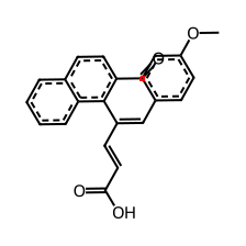 COc1ccc(/C=C(/C=C/C(=O)O)c2c(C=O)ccc3ccccc23)cc1